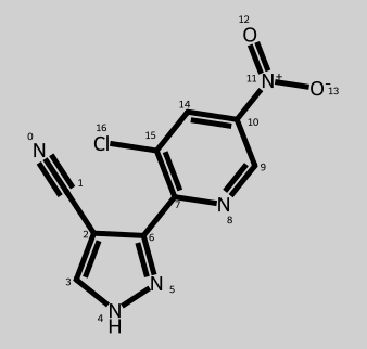 N#Cc1c[nH]nc1-c1ncc([N+](=O)[O-])cc1Cl